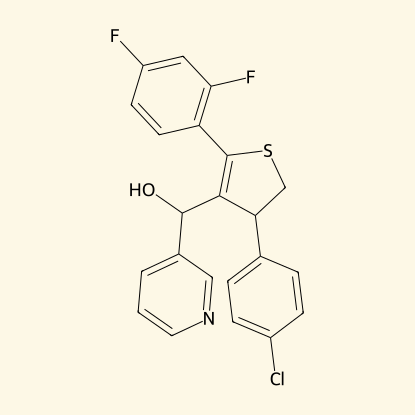 OC(C1=C(c2ccc(F)cc2F)SCC1c1ccc(Cl)cc1)c1cccnc1